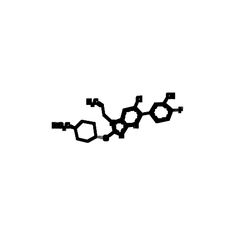 C=CCn1c(O[C@H]2CC[C@H](C(=O)OCC)CC2)nc2nc(-c3ccc(F)c(C#N)c3)c(Cl)cc21